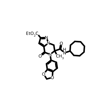 CCOC(=O)c1cc2n(n1)CC(C)(C(=O)NC1CCCCCCC1)N(c1ccc3c(c1)OCO3)C2=O